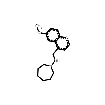 COc1ccc2nccc(CNN3CCCCCC3)c2c1